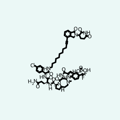 CN1CC[C@H]2CC[C@@H](C(=O)N[C@@H](CCC(N)=O)C(=O)N[C@H](C(=O)NCCCCCCCCCC#Cc3cccc4c3CN(C3CCC(=O)NC3=O)C4=O)c3ccc(Cl)cc3)N2C(=O)[C@@H](NC(=O)c2cc3cc(C(F)(F)P(=O)(O)O)ccc3[nH]2)C1